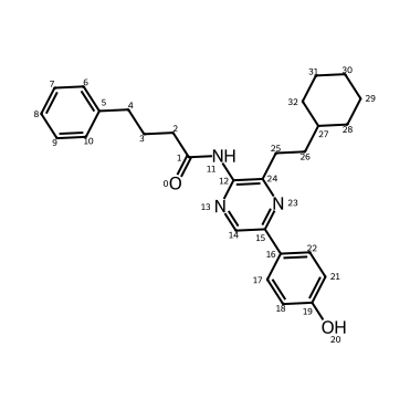 O=C(CCCc1ccccc1)Nc1ncc(-c2ccc(O)cc2)nc1CCC1CCCCC1